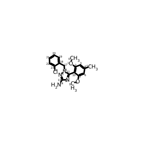 COc1cc(C)cc(OC)c1-c1nc(N)nn1Cc1ccccc1Cl